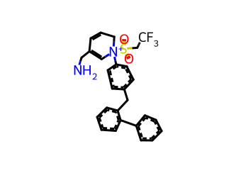 NCC1=C[N+](c2ccc(Cc3ccccc3-c3ccccc3)cc2)(S(=O)(=O)CC(F)(F)F)CC=C1